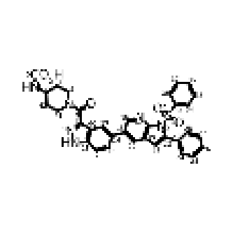 O=C(O)NC1CCN(C(=O)c2n[nH]c3ccc(-c4cnc5c(c4)cc(-c4ccccc4)n5S(=O)(=O)c4ccccc4)cc23)CC1